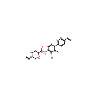 C=Cc1ccc(-c2ccc(OC(=O)C3CCC(C=C)CO3)c(F)c2C)cc1